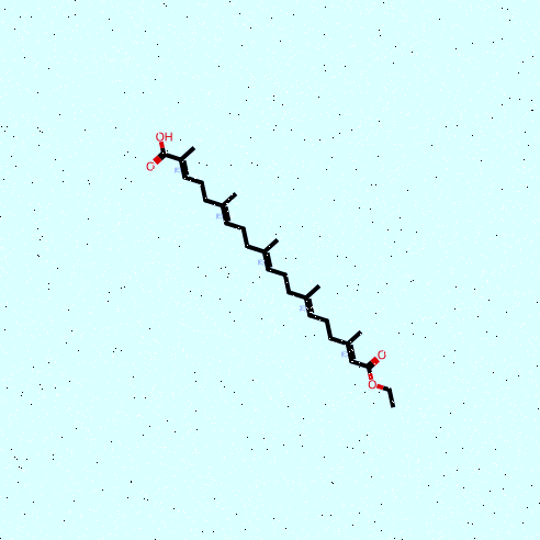 CCOC(=O)/C=C(\C)CC/C=C(\C)CC/C=C(\C)CC/C=C(\C)CC/C=C(\C)C(=O)O